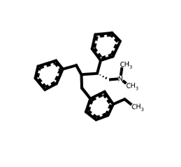 CCc1cccc(CC(Cc2ccccc2)[C@@H](CN(C)C)c2ccccc2)c1